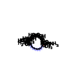 CC1/C=C/C=C/C=C/C=C/C=C/C=C/C=C/C(O[C@@H]2O[C@H](C)[C@@H](O)[C@H](N)[C@H]2O)CC2OC(O)(CCCC(O)CCCC(=O)CC(O)CC(=O)CC(=O)OC1C(C)CC(C)C(O)CC(=O)c1ccc(N)cc1)CC(O)C2C(=O)O